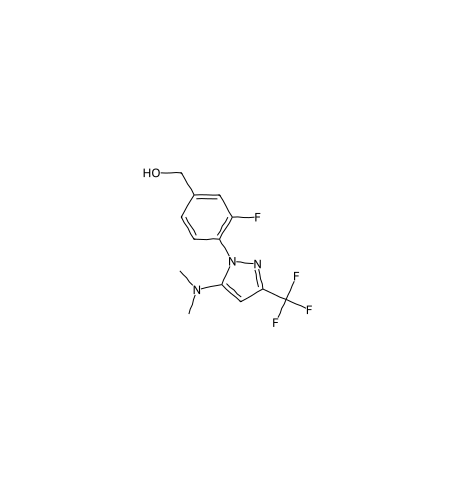 CN(C)c1cc(C(F)(F)F)nn1-c1ccc(CO)cc1F